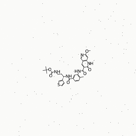 COc1cc2[nH]c(=O)c(C(=O)Nc3cc(C(=O)NC(CCNC(=O)OC(C)(C)C)c4ccsc4)ccc3C)cc2cn1